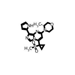 C[C@@H]1COCCN1c1cc(C2(S(C)(=O)=O)CC2)n2cnc(-c3ccc[nH]3)c2n1